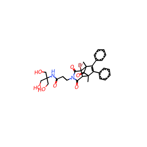 CC12C(=O)C(C)(C(c3ccccc3)=C1c1ccccc1)C1(Br)C(=O)N(CCC(=O)NC(CO)(CO)CO)C(=O)C21